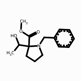 COC(=O)C1(C(C)O)CCCN1Cc1ccccc1